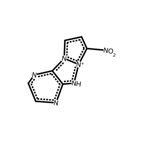 O=[N+]([O-])c1ccn2c3nccnc3[nH][n+]12